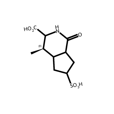 C[C@H]1C(C(=O)O)NC(=O)C2CC(S(=O)(=O)O)CC21